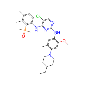 CCC1CCN(c2cc(OC)c(Nc3ncc(Cl)c(Nc4ccc(C)c(C)c4P(C)(C)=O)n3)cc2C)CC1